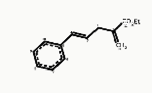 C=C(CC=Cc1ccccc1)C(=O)OCC